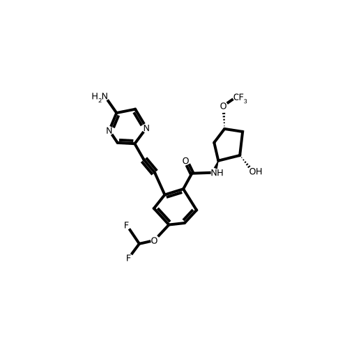 Nc1cnc(C#Cc2cc(OC(F)F)ccc2C(=O)N[C@H]2C[C@H](OC(F)(F)F)C[C@@H]2O)cn1